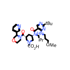 COCCCNc1nc(C(C)(C)C)ncc1C(=O)N(CC(C)C)[C@H]1C[C@@H](C(=O)N2CCOCC2c2cccnc2)CN(C(=O)O)C1